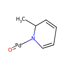 CC1C=CC=C[N]1[Pd]=[O]